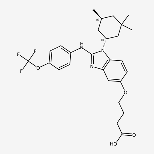 C[C@@H]1C[C@@H](n2c(Nc3ccc(OC(F)(F)F)cc3)nc3cc(OCCCC(=O)O)ccc32)CC(C)(C)C1